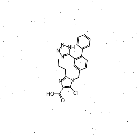 CCCc1nc(C(=O)O)c(Cl)n1Cc1ccc(-c2ccccc2)c(-c2nnn[nH]2)c1